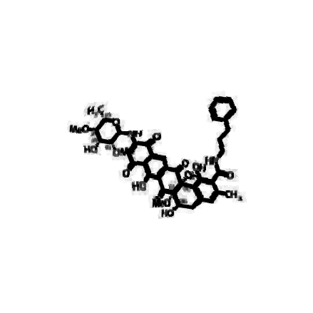 CO[C@@H]1[C@@H](O)[C@@H](OC)C(NC2=CC(=O)c3c(cc4c(c3O)C(=O)[C@]3(OC)[C@H](O)Cc5cc(C)c(C(=O)NCCCc6ccccc6)c(O)c5[C@]3(O)C4=O)C2=O)O[C@H]1C